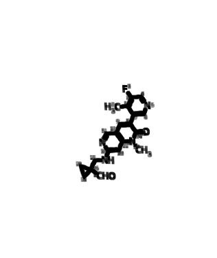 Cc1c(F)cncc1-c1cc2cnc(NCC3(C=O)CC3)cc2n(C)c1=O